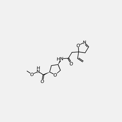 C=CC1(CC(=O)N[C@H]2CO[C@@H](C(=O)NOC)C2)CC=NO1